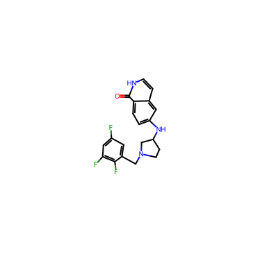 O=c1[nH]ccc2cc(NC3CCN(Cc4cc(F)cc(F)c4F)C3)ccc12